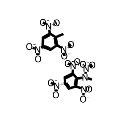 CN(c1c([N+](=O)[O-])cc([N+](=O)[O-])cc1[N+](=O)[O-])[N+](=O)[O-].Cc1c([N+](=O)[O-])cc([N+](=O)[O-])cc1[N+](=O)[O-]